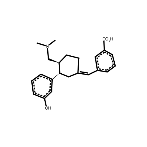 CN(C)C[C@H]1CC/C(=C\c2cccc(C(=O)O)c2)C[C@@H]1c1cccc(O)c1